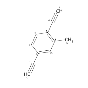 C#Cc1ccc(C#C)c(C)c1